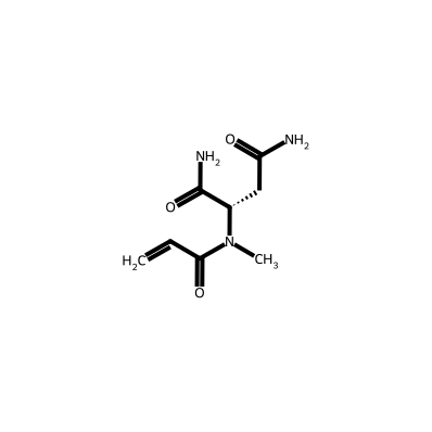 C=CC(=O)N(C)[C@@H](CC(N)=O)C(N)=O